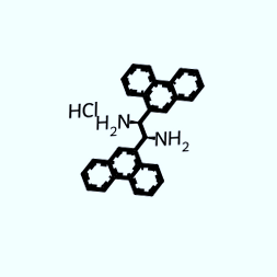 Cl.N[C@@H](c1cc2ccccc2c2ccccc12)[C@@H](N)c1cc2ccccc2c2ccccc12